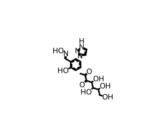 CC(=O)C(=O)C(O)C(O)C(O)CO.ON=Cc1ccccc1O.c1c[nH]nn1